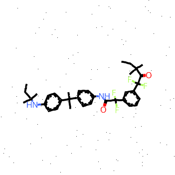 CCC(C)(C)Nc1ccc(C(C)(C)c2ccc(NC(=O)C(F)(F)c3cccc(C(F)(F)C(=O)C(C)(C)CC)c3)cc2)cc1